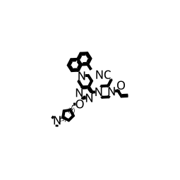 C=CC(=O)N1CCN(c2nc(OC[C@@H]3CC[C@H](N(C)C)C3)nc3c2CCN(c2cccc4cccc(C)c24)C3)CC1CC#N